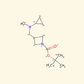 CN(CC1CN(C(=O)OC(C)(C)C)C1)C1CC1